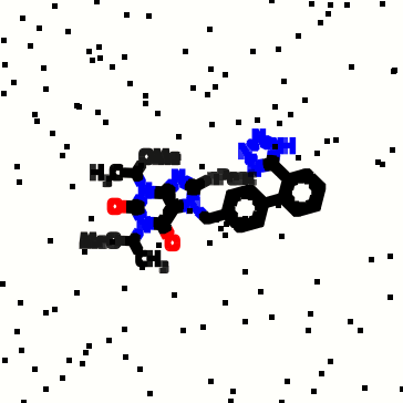 CCCCCc1nc2c(c(=O)n(C(C)OC)c(=O)n2C(C)OC)n1Cc1ccc(-c2ccccc2-c2nnn[nH]2)cc1